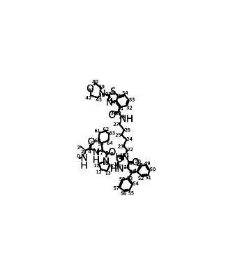 CN[C@@H](C)C(=O)N[C@H](C(=O)N1CCC[C@H]1C(=O)N[C@H](C(=O)NCCCCCCNC(=O)c1cccc2sc(N3CCOCC3)nc12)C(c1ccccc1)c1ccccc1)C1CCCCC1